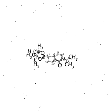 CC(C)n1ccc2cc(B3OC(C)(C)C(C)(C)O3)ccc2c1=O